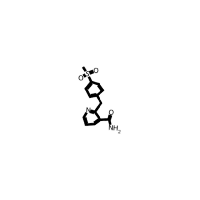 CS(=O)(=O)c1ccc(Cc2ncccc2C(N)=O)cc1